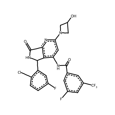 O=C(Nc1cc(N2CC(O)C2)nc2c1C(c1cc(F)ccc1Cl)NC2=O)c1cc(F)cc(C(F)(F)F)c1